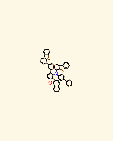 c1ccc(-c2ccc(N(c3cccc4c3sc3ccccc34)c3c(-c4cccc(-c5cccc6c5sc5ccccc56)c4)ccc4oc5c6ccccc6ccc5c34)cc2)cc1